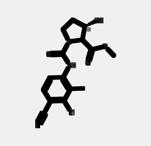 COC(=O)C1[C@@H](O)CCN1C(=O)Nc1ccc(C#N)c(Cl)c1C